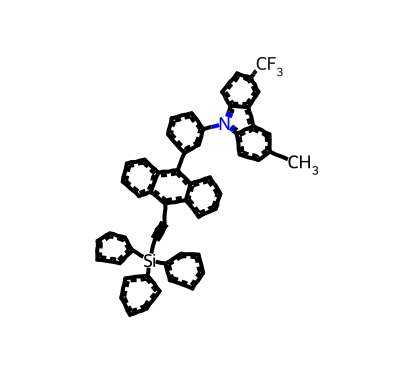 Cc1ccc2c(c1)c1cc(C(F)(F)F)ccc1n2-c1cccc(-c2c3ccccc3c(C#C[Si](c3ccccc3)(c3ccccc3)c3ccccc3)c3ccccc23)c1